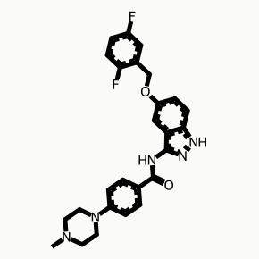 CN1CCN(c2ccc(C(=O)Nc3n[nH]c4ccc(OCc5cc(F)ccc5F)cc34)cc2)CC1